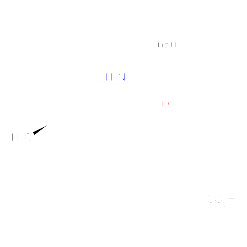 CCCCC(N)=O.C[C@@]12C=CCC1C1CCc3cc(C(=O)O)ccc3C1CC2